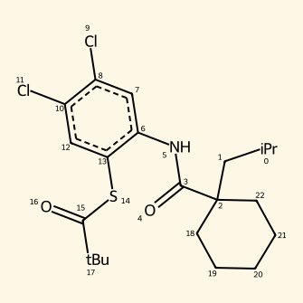 CC(C)CC1(C(=O)Nc2cc(Cl)c(Cl)cc2SC(=O)C(C)(C)C)CCCCC1